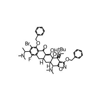 CC(c1c(F)c2c(c(OCc3ccccc3)c1Br)C(=O)C1=C(O)[C@]3(O[Si](C)(C)C(C)(C)C)C(=O)c4c(OCc5ccccc5)noc4[C@@H](N(C)C)[C@@H]3C[C@@H]1C2)N(C)C